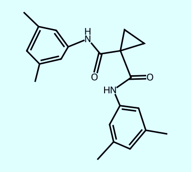 Cc1cc(C)cc(NC(=O)C2(C(=O)Nc3cc(C)cc(C)c3)CC2)c1